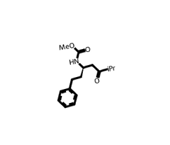 COC(=O)N[C@H](CCc1ccccc1)CC(=O)C(C)C